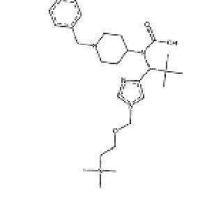 CC(C)(C)C(c1cn(COCC[Si](C)(C)C)cn1)N(C(=O)O)C1CCN(Cc2ccccc2)CC1